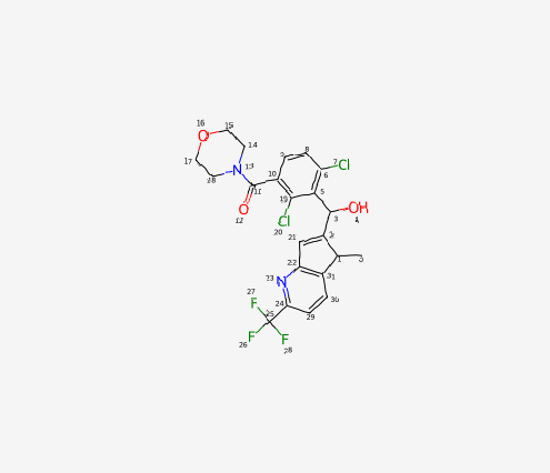 CC1C(C(O)c2c(Cl)ccc(C(=O)N3CCOCC3)c2Cl)=Cc2nc(C(F)(F)F)ccc21